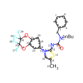 CCCCN(Cc1ccccc1)C(=O)N=c1sc(C)cn1-c1ccc2c(c1)OC(F)(F)C(F)(F)O2